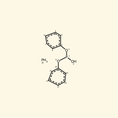 OP(Oc1ccccc1)Oc1ccccc1.P